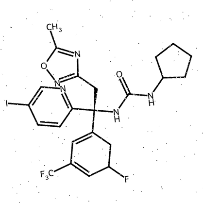 Cc1nc(C[C@@](NC(=O)NC2CCCC2)(C2=CC(C(F)(F)F)=CC(F)C2)c2ccc(I)cn2)no1